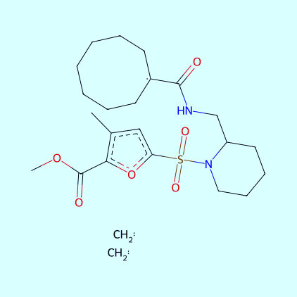 COC(=O)c1oc(S(=O)(=O)N2CCCCC2CNC(=O)[C]2CCCCCCC2)cc1C.[CH2].[CH2]